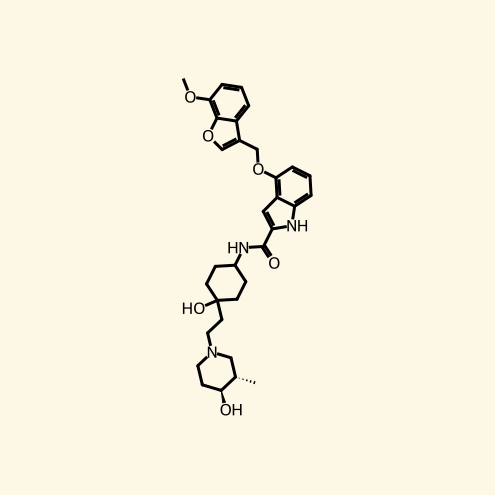 COc1cccc2c(COc3cccc4[nH]c(C(=O)NC5CCC(O)(CCN6CC[C@H](O)[C@@H](C)C6)CC5)cc34)coc12